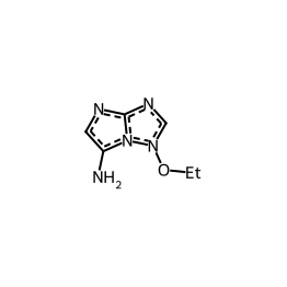 CCOn1cnc2ncc(N)n21